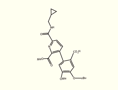 CCCCOc1cc(C(=O)O)c(-c2ccc(C(=O)NCC3CC3)nc2C(=O)OC)cc1OC